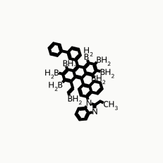 BC=Cc1c(B)c(B)c(B)c2c(-c3cccc(-c4ccccc4)c3)c3c(B)c(B)c(B)c(B)c3c(-c3ccc(-n4c(CC)nc5ccccc54)c4c3CCC=C4)c12